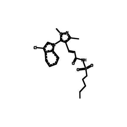 CCCCCS(=O)(=O)NC(=O)C=Cc1c(C)nn(C)c1-n1cc(Cl)c2ccccc21